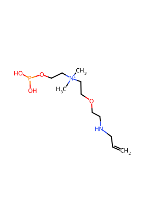 C=CCNCCOCC[N+](C)(C)CCOP(O)O